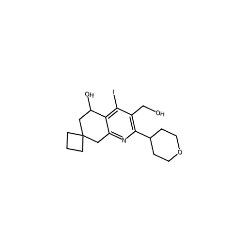 OCc1c(C2CCOCC2)nc2c(c1I)C(O)CC1(CCC1)C2